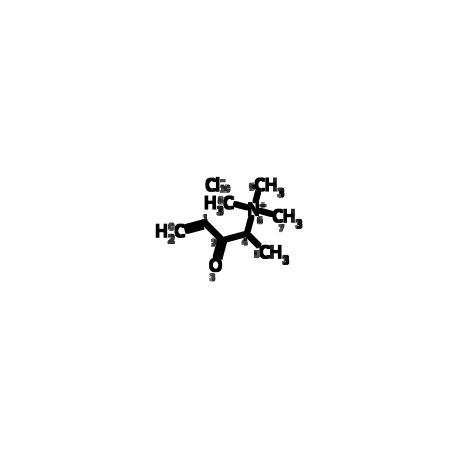 C=CC(=O)C(C)[N+](C)(C)C.[Cl-]